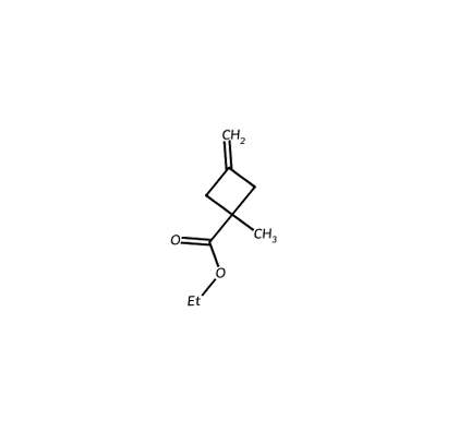 C=C1CC(C)(C(=O)OCC)C1